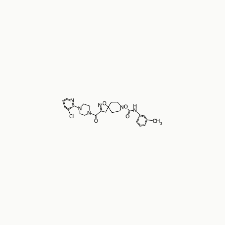 Cc1cccc(NC(=O)ON2CCC3(CC2)CC(C(=O)N2CCN(c4ncccc4Cl)CC2)=NO3)c1